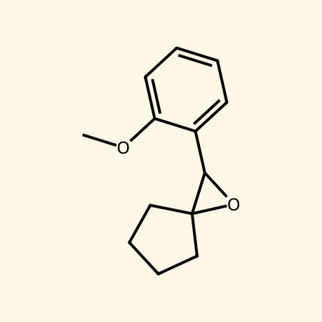 COc1ccccc1C1OC12CCCC2